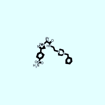 CC(C)[C@@H](C(=O)NCCN1CCN(Cc2ccccc2)CC1)n1cc(-c2ccc(S(N)(=O)=O)cc2)nn1